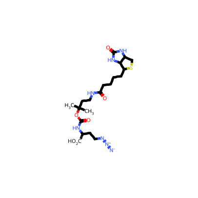 CC(C)(CCNC(=O)CCCCC1SCC2NC(=O)NC21)OC(=O)NC(CCN=[N+]=[N-])C(=O)O